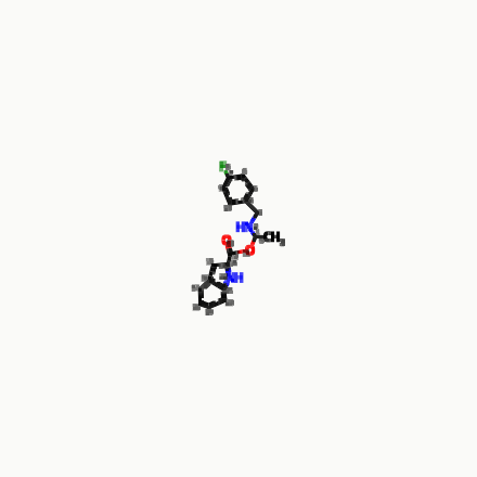 CC(NCc1ccc(F)cc1)OC(=O)c1cc2ccccc2[nH]1